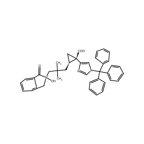 CC(C)(C[C@H]1C[C@]1(C(=O)[O-])c1cn(C(c2ccccc2)(c2ccccc2)c2ccccc2)cn1)C[N+]1(O)Cc2ccccc2C1=O